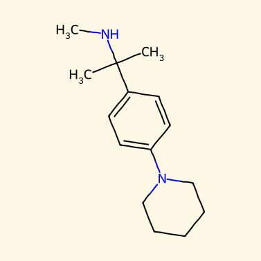 CNC(C)(C)c1ccc(N2CCCCC2)cc1